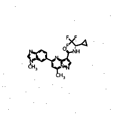 Cc1cc(-c2ccc3ncn(C)c3c2)nc2c(C(=O)N[C@@H](C3CC3)C(F)(F)F)cnn12